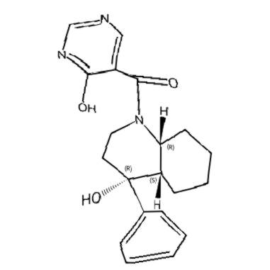 O=C(c1cncnc1O)N1CC[C@](O)(c2ccccc2)[C@H]2CCCC[C@H]21